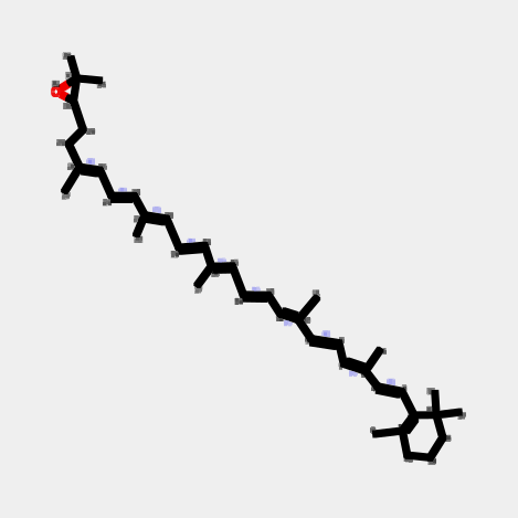 CC1=C(/C=C/C(C)=C/C=C/C(C)=C/C=C/C=C(C)/C=C/C=C(C)/C=C/C=C(\C)CCC2OC2(C)C)C(C)(C)CCC1